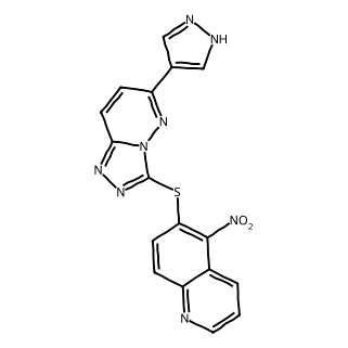 O=[N+]([O-])c1c(Sc2nnc3ccc(-c4cn[nH]c4)nn23)ccc2ncccc12